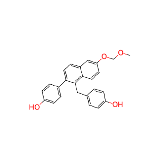 COCOc1ccc2c(Cc3ccc(O)cc3)c(-c3ccc(O)cc3)ccc2c1